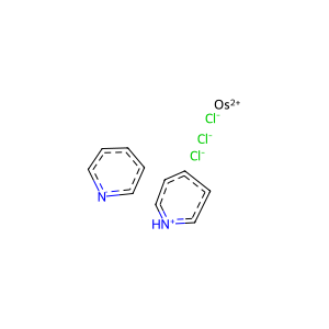 [Cl-].[Cl-].[Cl-].[Os+2].c1cc[nH+]cc1.c1ccncc1